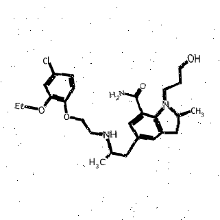 CCOc1cc(Cl)ccc1OCCN[C@H](C)Cc1cc2c(c(C(N)=O)c1)N(CCCO)C(C)C2